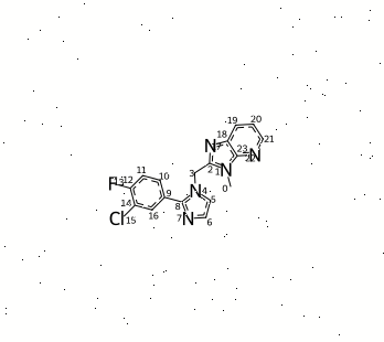 Cn1c(Cn2ccnc2-c2ccc(F)c(Cl)c2)nc2cccnc21